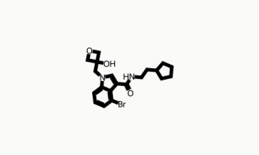 O=C(NCCC1CCCC1)c1cn(CC2(O)COC2)c2cccc(Br)c12